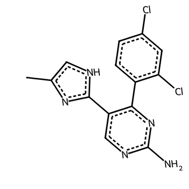 Cc1c[nH]c(-c2cnc(N)nc2-c2ccc(Cl)cc2Cl)n1